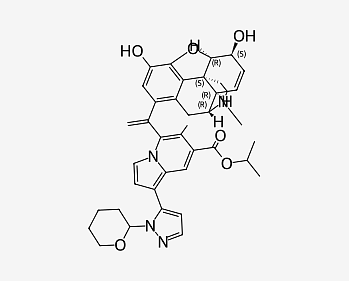 C=C(c1cc(O)c2c3c1C[C@@H]1[C@@H]4C=C[C@H](O)[C@H](O2)[C@]34CCN1C)c1c(C)c(C(=O)OC(C)C)cc2c(-c3ccnn3C3CCCCO3)ccn12